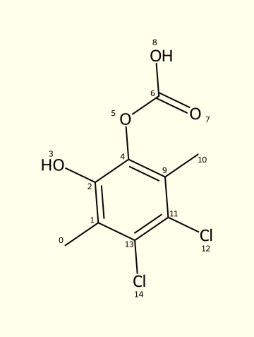 Cc1c(O)c(OC(=O)O)c(C)c(Cl)c1Cl